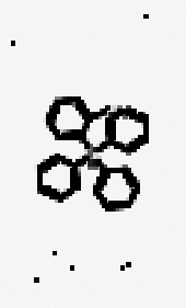 Cc1ccccc1[PH](c1ccccc1)(c1ccccc1)c1ccccc1